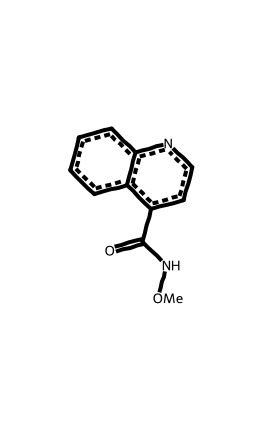 CONC(=O)c1ccnc2ccccc12